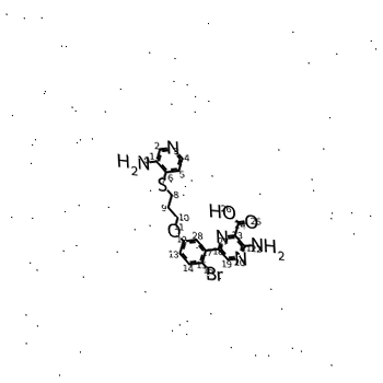 Nc1cnccc1SCCCOc1ccc(Br)c(-c2cnc(N)c(C(=O)O)n2)c1